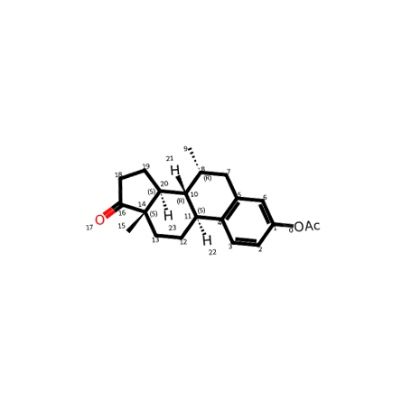 CC(=O)Oc1ccc2c(c1)C[C@@H](C)[C@@H]1[C@@H]2CC[C@]2(C)C(=O)CC[C@@H]12